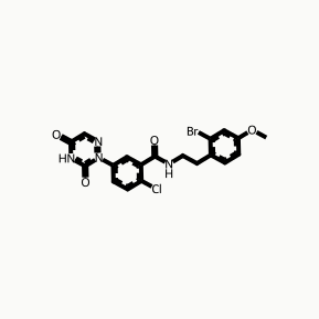 COc1ccc(CCNC(=O)c2cc(-n3ncc(=O)[nH]c3=O)ccc2Cl)c(Br)c1